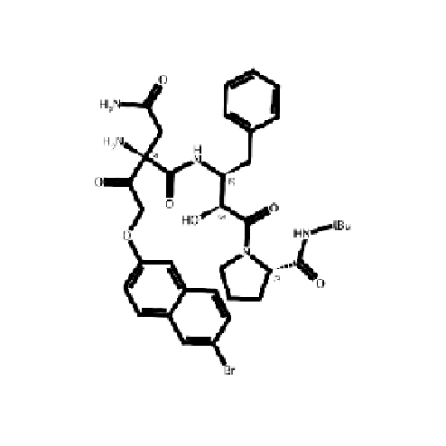 CC(C)(C)NC(=O)[C@@H]1CCCN1C(=O)[C@@H](O)[C@H](Cc1ccccc1)NC(=O)[C@@](N)(CC(N)=O)C(=O)COc1ccc2cc(Br)ccc2c1